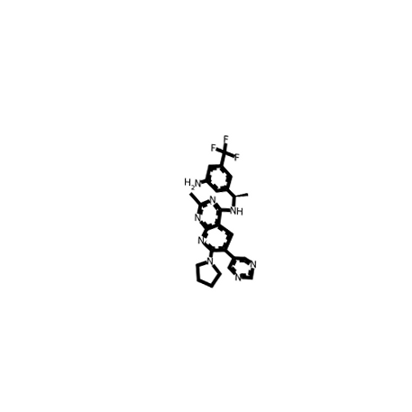 Cc1nc(N[C@H](C)c2cc(N)cc(C(F)(F)F)c2)c2cc(-c3cncnc3)c(N3CCCC3)nc2n1